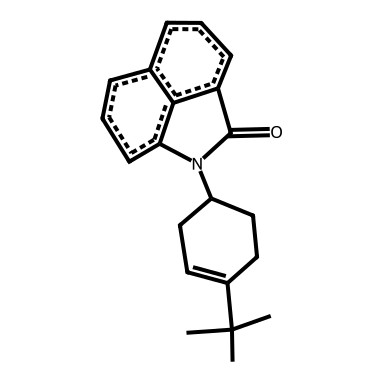 CC(C)(C)C1=CCC(N2C(=O)c3cccc4cccc2c34)CC1